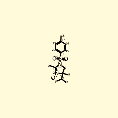 CC1=[N+]([O-])C(C)(C(C)C)CN1S(=O)(=O)c1ccc(C)cc1